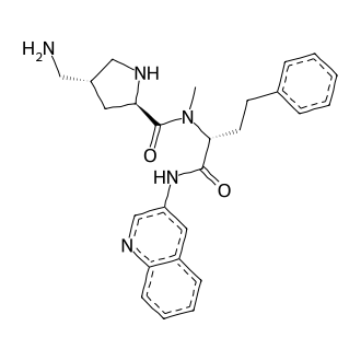 CN(C(=O)[C@H]1C[C@H](CN)CN1)[C@H](CCc1ccccc1)C(=O)Nc1cnc2ccccc2c1